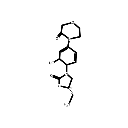 CC1C=C(N2CCOCC2=O)C=CC1N1C[C@H](CN)OC1=O